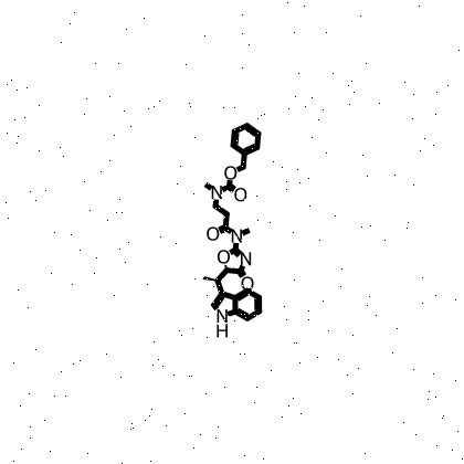 C[C@H](c1c[nH]c2ccccc12)[C@@H]1OC(N(C)C(=O)CCN(C)C(=O)OCc2ccccc2)=NC1=O